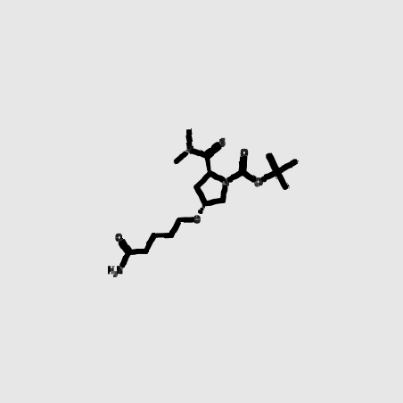 CN(C)C(=S)[C@@H]1C[C@@H](OCCCCC(N)=O)CN1C(=O)OC(C)(C)C